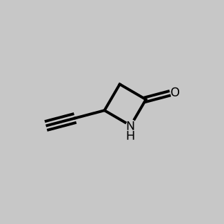 C#CC1CC(=O)N1